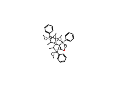 CO[Si](OC)(c1ccccc1)C(C)[Si](OC)(C(C)[Si](OC)(OC)c1ccccc1)C(C)[Si](OC)(OC)c1ccccc1